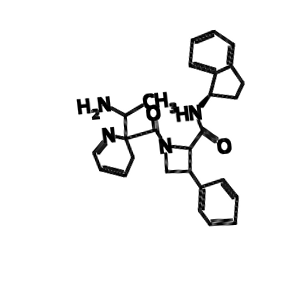 CC(N)C1(C(=O)N2CC(c3ccccc3)C2C(=O)N[C@@H]2CCc3ccccc32)CC=CC=N1